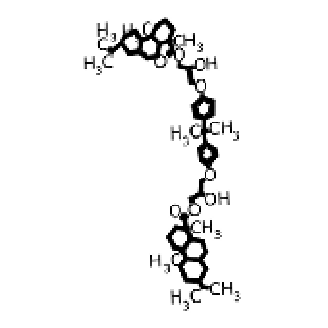 CC(C)C1CCC2C(CCC3C(C)(C(=O)OCC(O)COc4ccc(C(C)(C)c5ccc(OCC(O)COC(=O)C6(C)CCCC7(C)C8CCC(C(C)C)CC8CCC67)cc5)cc4)CCCC23C)C1